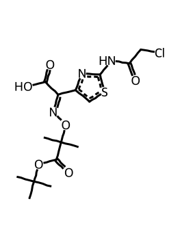 CC(C)(C)OC(=O)C(C)(C)O/N=C(/C(=O)O)c1csc(NC(=O)CCl)n1